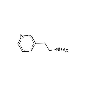 CC(=O)NCCc1cccnc1